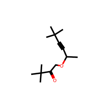 CC(C#CC(C)(C)C)OCC(=O)C(C)(C)C